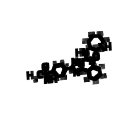 CS(=N)(=O)c1ccc(-c2nc3c4ccccc4nc(N[C@@H]4CCCCNC4=O)n3n2)cc1